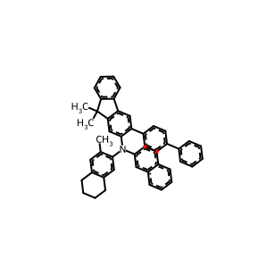 Cc1cc2c(cc1N(c1ccc3ccccc3c1)c1cc3c(cc1-c1ccc(-c4ccccc4)cc1)-c1ccccc1C3(C)C)CCCC2